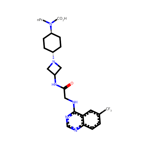 CCCN(C(=O)O)[C@H]1CC[C@H](N2CC(NC(=O)CNc3ncnc4ccc(C(F)(F)F)cc34)C2)CC1